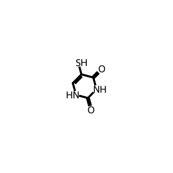 O=c1[nH]cc(S)c(=O)[nH]1